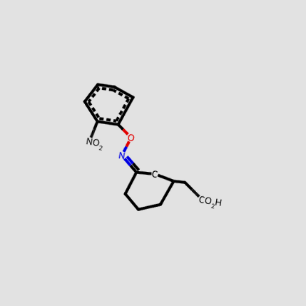 O=C(O)CC1CCCC(=NOc2ccccc2[N+](=O)[O-])C1